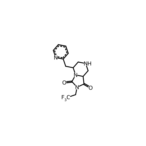 O=C1C2CNCC(Cc3ccccn3)N2C(=O)N1CC(F)(F)F